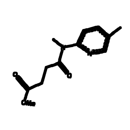 COC(=O)CCC(=O)N(C)c1ccc(C)cn1